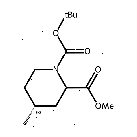 COC(=O)C1C[C@H](C)CCN1C(=O)OC(C)(C)C